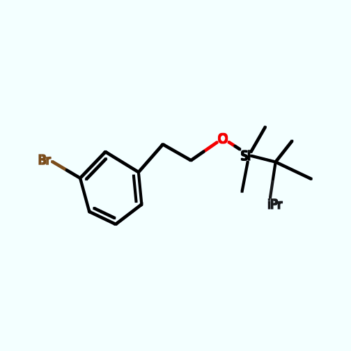 CC(C)C(C)(C)[Si](C)(C)OCCc1cccc(Br)c1